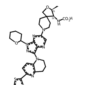 C[C@@H]1OCC2(CCN(c3cnc4c(N5CCCc6nc(-c7nccs7)ccc65)nn(C5CCCCO5)c4n3)CC2)[C@@H]1NC(=O)O